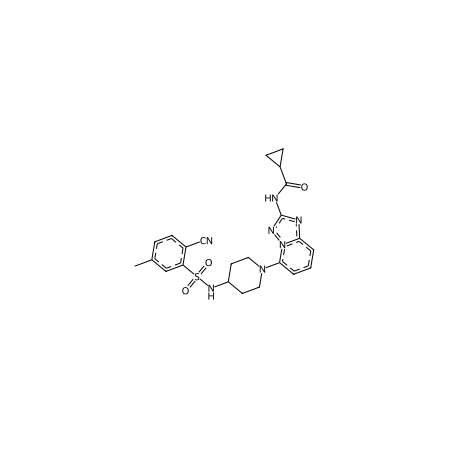 Cc1ccc(C#N)c(S(=O)(=O)NC2CCN(c3cccc4nc(NC(=O)C5CC5)nn34)CC2)c1